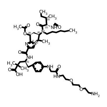 CCCCCCN(C(=O)[C@@H](NC=O)[C@@H](C)CC)[C@H](C[C@@H](OC(C)=O)c1nc(C(=O)N[C@@H](Cc2ccc(NCC(=O)NCCOCCOCCN)cc2)CC(C)(C)C(=O)O)cs1)C(C)C